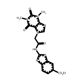 CCOC(=O)c1ccc2nc(NC(=O)Cn3cnc4c3c(=O)n(C)c(=O)n4C)sc2c1